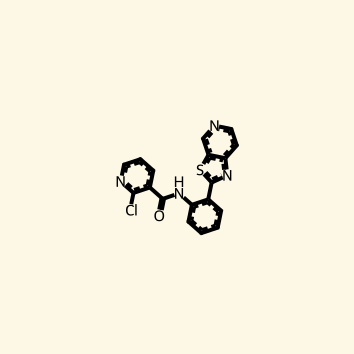 O=C(Nc1ccccc1-c1nc2ccncc2s1)c1cccnc1Cl